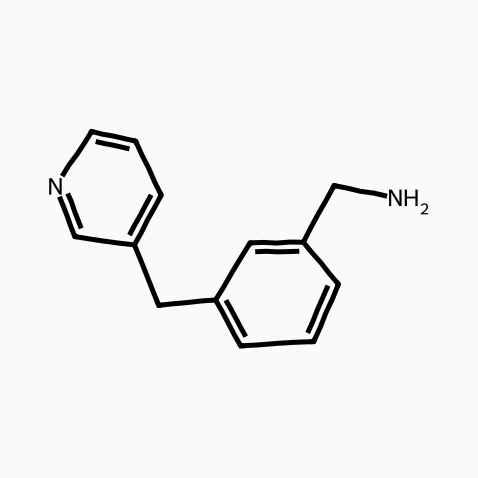 NCc1cccc(Cc2cccnc2)c1